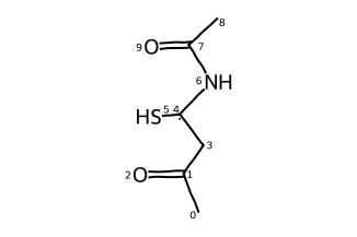 CC(=O)C[C](S)NC(C)=O